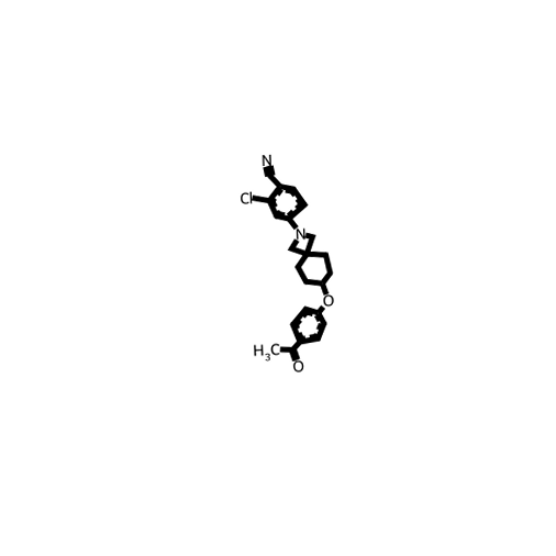 CC(=O)c1ccc(OC2CCC3(CC2)CN(c2ccc(C#N)c(Cl)c2)C3)cc1